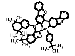 CC(C)(C)c1ccc(N2B3c4oc5ccc(C(C)(C)C)cc5c4N(c4ccc5c(c4)C(C)(C)CCC5(C)C)c4cc5c(oc6ccccc65)c(c43)-c3cc4c(cc32)oc2ccccc24)cc1